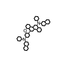 c1ccc(N(c2ccc3c(c2)Oc2cccc4c2c-3cc2c3ccccc3c(N(c3ccccc3)c3ccc5ccccc5c3)cc42)c2ccc3ccccc3c2)cc1